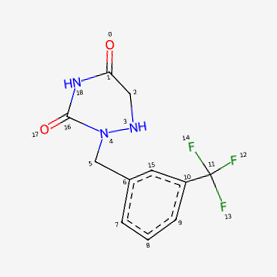 O=C1CNN(Cc2cccc(C(F)(F)F)c2)C(=O)N1